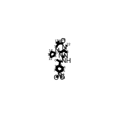 CC(Nc1ncc2c(n1)N(C1CCCC1)CC(C)(C)C(=O)N2C)c1ccc([N+](=O)[O-])cc1